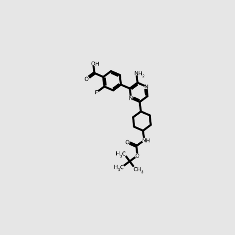 CC(C)(C)OC(=O)NC1CCC(c2cnc(N)c(-c3ccc(C(=O)O)c(F)c3)n2)CC1